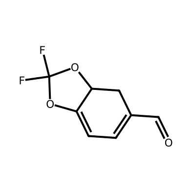 O=CC1=CC=C2OC(F)(F)OC2C1